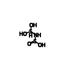 O=S(O)N[SH](O)O